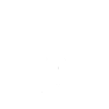 CCCCCCCCP(=O)(C(=O)c1c(Cl)cccc1OC)c1ccccc1